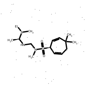 CCN(C)[C@H](C)NCN(C)S(=O)(=O)[C@@H]1C=CCC(C)(C)C=C1